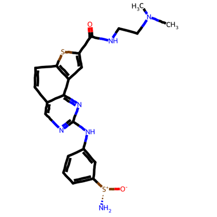 CN(C)CCNC(=O)c1cc2c(ccc3cnc(Nc4cccc([S@@+](N)[O-])c4)nc32)s1